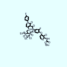 CCOP(=O)(OCC)C(COc1ccn(-c2ccc(F)cc2)c(=O)c1C(=O)Nc1ccc(Oc2ccnc(NC(=O)OC(C)(C)C)c2Cl)c(F)c1)P(=O)(OCC)OCC